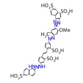 COc1cc(N=Nc2ccc(C=Cc3ccc(Nn4[nH]c5c6ccc(S(=O)(=O)O)cc6ccc54)cc3S(=O)(=O)O)c(S(=O)(=O)O)c2)c(C)cc1-n1n2c3cc(S(=O)(=O)O)c4cc(S(=O)(=O)O)ccc4c3n12